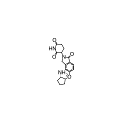 N[C@H]1CCCC1Oc1ccc2c(c1)CN(C1CCC(=O)NC1=O)C2=O